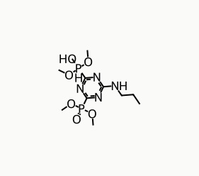 CCCNc1nc(P(=O)(OC)OC)nc([PH](O)(OC)OC)n1